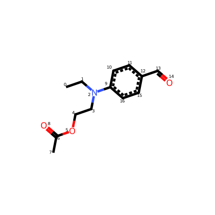 CCN(CCOC(C)=O)c1ccc(C=O)cc1